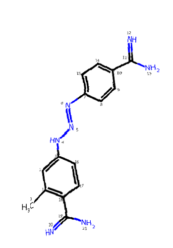 Cc1cc(N/N=N/c2ccc(C(=N)N)cc2)ccc1C(=N)N